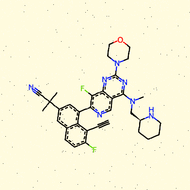 C#Cc1c(F)ccc2cc(C(C)(C)C#N)cc(-c3ncc4c(N(C)C[C@@H]5CCCCN5)nc(N5CCOCC5)nc4c3F)c12